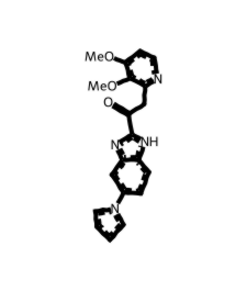 COc1ccnc(CC(=O)c2nc3cc(-n4cccc4)ccc3[nH]2)c1OC